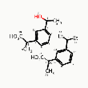 CC(O)c1cccc(C(C)C(=O)O)c1.CCC(CC)c1cccc([C@H](C)C(=O)O)c1